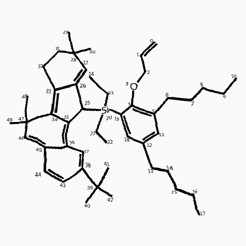 C=CCOc1c(CCCCC)cc(CCCCC)cc1[Si](CC)(CC)C1C2=CC(C)(C)CCC2=C2C1=c1cc(C(C)(C)C)ccc1=CC2(C)C